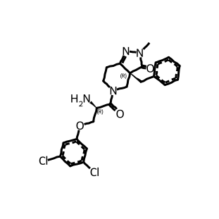 CN1N=C2CCN(C(=O)[C@H](N)COc3cc(Cl)cc(Cl)c3)C[C@@]2(Cc2ccccc2)C1=O